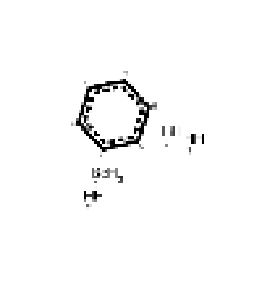 [BeH2].[HH].[HH].[LiH].c1ccccc1